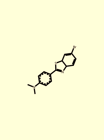 CN(C)c1ccc(C2=NC3C=CC(Br)=CC3S2)cc1